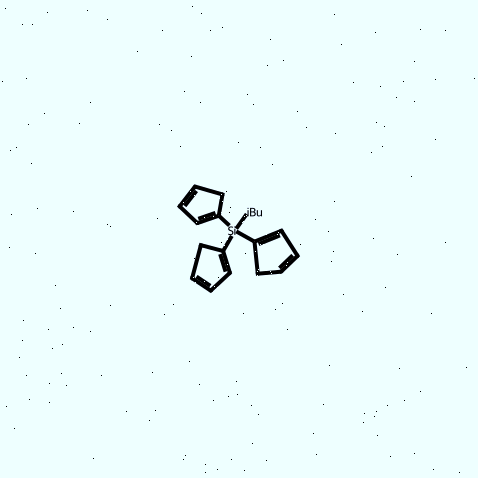 CCC(C)[Si](C1=CC=CC1)(C1=CC=CC1)C1=CC=CC1